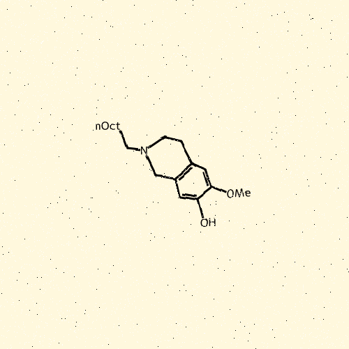 CCCCCCCCCN1CCc2cc(OC)c(O)cc2C1